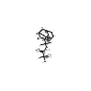 CCC(C)(F)C(=O)OC(C)(C)C12CC3CC(CC(C3)C1)C2